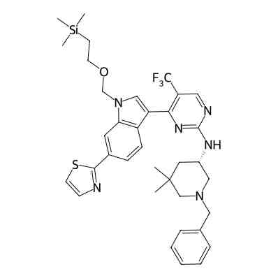 CC1(C)C[C@H](Nc2ncc(C(F)(F)F)c(-c3cn(COCC[Si](C)(C)C)c4cc(-c5nccs5)ccc34)n2)CN(Cc2ccccc2)C1